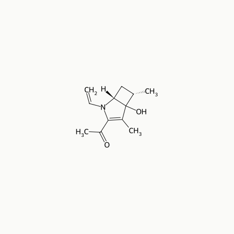 C=CN1C(C(C)=O)=C(C)C2(O)[C@@H](C)C[C@@H]12